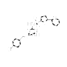 O=S(=O)(Nc1n[nH]c(SCc2ccc(Cl)cc2)n1)c1ccc(-c2ccccn2)s1